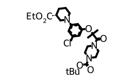 CCOC(=O)[C@@H]1CCCN(c2cc(Cl)cc(OC(C)(C)C(=O)N3CCN(C(=O)OC(C)(C)C)CC3)c2)C1